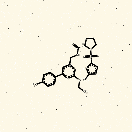 O=C(NCc1cc(-c2ccc(C(F)(F)F)cc2)nc(OCC(F)(F)F)n1)[C@@H]1CCCN1S(=O)(=O)c1ccc(Cl)s1